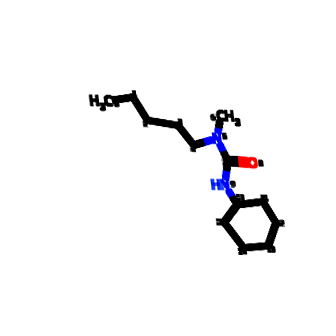 CCCCCN(C)C(=O)NC1CCCCC1